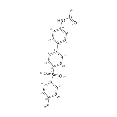 CC(=O)Nc1ccc(-c2ccc(S(=O)(=O)c3ccc(F)cc3)cc2)cc1